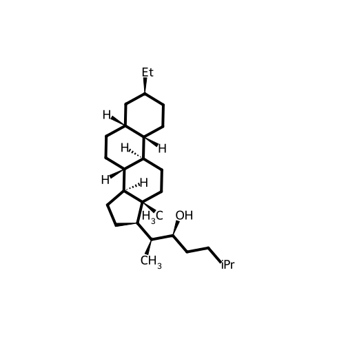 CC[C@H]1CC[C@H]2[C@H](CC[C@@H]3[C@@H]2CC[C@]2(C)[C@@H]([C@H](C)[C@@H](O)CCC(C)C)CC[C@@H]32)C1